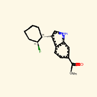 COC(=O)c1ccc2c([C@H]3CCCC[C@@H]3F)c[nH]c2c1